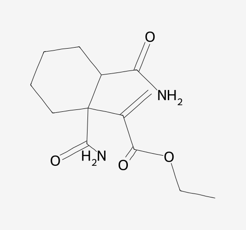 C=C(C(=O)OCC)C1(C(N)=O)CCCCC1C(N)=O